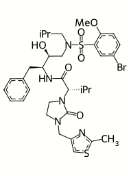 COc1ccc(Br)cc1S(=O)(=O)N(CC(C)C)C[C@H](O)[C@H](Cc1ccccc1)NC(=O)[C@H](C(C)C)N1CCN(Cc2csc(C)n2)C1=O